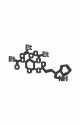 CCC(=O)O[C@@H]1[C@@H](OC(=O)CC)[C@H](OC(=O)/C=C/c2c[nH]c3ccccc23)OC[C@@H]1OC(=O)CC